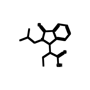 CCC(C(=O)O)C1c2ccccc2C(=O)N1CC(C)C